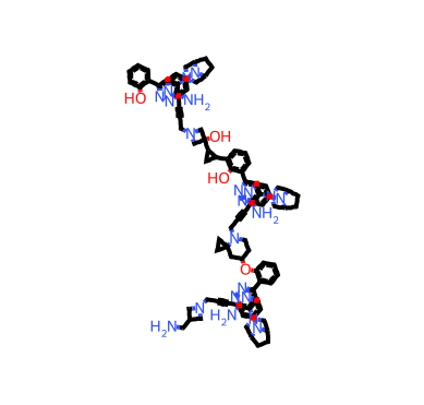 NCC1CN(CC#Cc2cc(N3C4CCC3CN(c3cc(-c5ccccc5OC5CCN(CC#Cc6cc(N7C8CCC7CN(c7cc(-c9cccc(C%10CC%10C%10(O)CN(CC#Cc%11cc(N%12C%13CCC%12CN(c%12cc(-c%14ccccc%14O)nnc%12N)C%13)ccn%11)C%10)c9O)nnc7N)C8)ccn6)C6(CC6)C5)nnc3N)C4)ccn2)C1